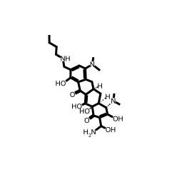 CCCCNCc1cc(N(C)C)c2c(c1O)C(=O)C1=C(O)[C@]3(O)C(=O)C(C(N)O)=C(O)[C@@H](N(C)C)[C@@H]3C[C@@H]1C2